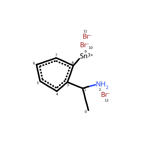 CC(N)c1cccc[c]1[Sn+3].[Br-].[Br-].[Br-]